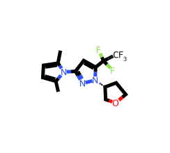 Cc1ccc(C)n1-c1cc(C(F)(F)C(F)(F)F)n([C@@H]2CCOC2)n1